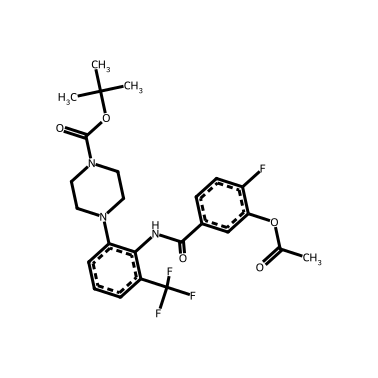 CC(=O)Oc1cc(C(=O)Nc2c(N3CCN(C(=O)OC(C)(C)C)CC3)cccc2C(F)(F)F)ccc1F